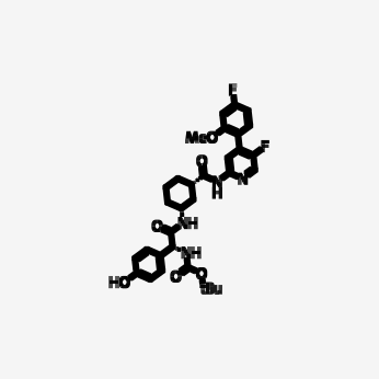 COc1cc(F)ccc1-c1cc(NC(=O)[C@H]2CCC[C@@H](NC(=O)[C@H](NC(=O)OC(C)(C)C)c3ccc(O)cc3)C2)ncc1F